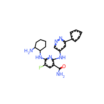 NC(=O)c1cc(F)c(NC2CCCCC2N)nc1Nc1cnnc(-c2ccccc2)c1